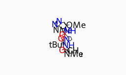 CNc1ncnc2cc(OC)c(NC(=O)C3CCCN3C(=O)[C@@H](NC(=O)[C@H](C)NC)C(C)(C)C)cc12